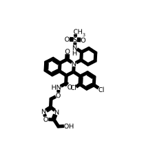 CS(=O)(=O)NC1CCCCC1N1C(=O)c2ccccc2C(C(=O)NOCc2noc(CO)n2)C1c1ccc(Cl)cc1Cl